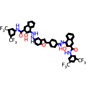 O=C(Nc1cc(C(F)(F)F)cc(C(F)(F)F)c1)c1cc2ccccc2c(/N=N/c2ccc(-c3cc4cc(NNc5c(O)c(C(=O)Nc6cc(C(F)(F)F)cc(C(F)(F)F)c6)cc6ccccc56)ccc4o3)cc2)c1O